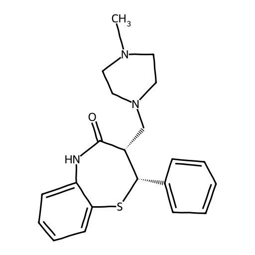 CN1CCN(C[C@H]2C(=O)Nc3ccccc3S[C@H]2c2ccccc2)CC1